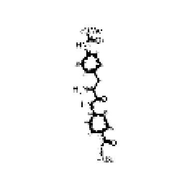 COC(=O)Nc1ccc(C[C@H](N)C(=O)Nc2ccc(C(=O)OC(C)(C)C)cc2)cc1